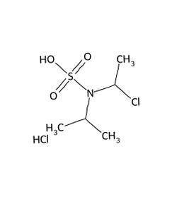 CC(C)N(C(C)Cl)S(=O)(=O)O.Cl